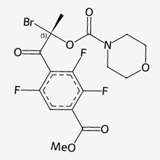 COC(=O)c1cc(F)c(C(=O)[C@](C)(Br)OC(=O)N2CCOCC2)c(F)c1F